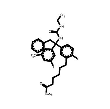 COC(=O)CCCCCc1cc(C(Cc2ccccc2)(NC(=O)NCC(F)(F)F)c2cc(F)cc(C(F)(F)F)c2)ccc1F